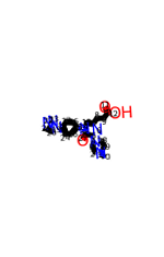 CN1CCN(c2nc(CCC(=O)O)cn(-c3ccc(-n4ccnn4)cc3)c2=O)CC1